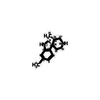 Cc1ccc2c(c1)NC[C@]21CCNC[C@H]1C